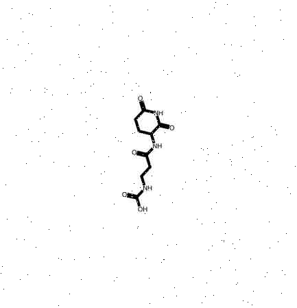 O=C(O)NCCC(=O)NC1CCC(=O)NC1=O